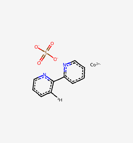 O=S(=O)([O-])[O-].[2H]c1cccnc1-c1ccccn1.[Co+2]